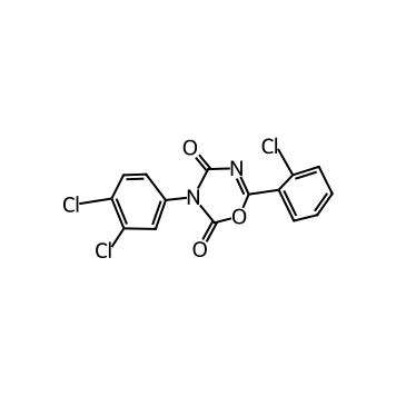 O=c1nc(-c2ccccc2Cl)oc(=O)n1-c1ccc(Cl)c(Cl)c1